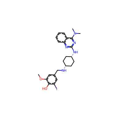 COc1cc(CN[C@H]2CC[C@@H](Nc3nc(N(C)C)c4ccccc4n3)CC2)cc(I)c1O